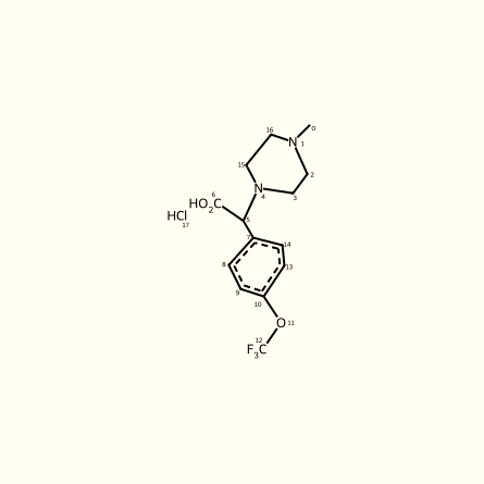 CN1CCN(C(C(=O)O)c2ccc(OC(F)(F)F)cc2)CC1.Cl